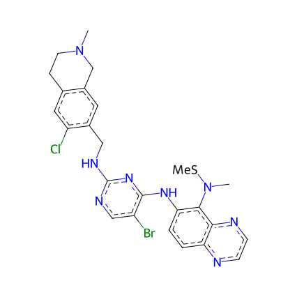 CSN(C)c1c(Nc2nc(NCc3cc4c(cc3Cl)CCN(C)C4)ncc2Br)ccc2nccnc12